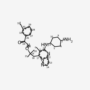 Cc1c(NC2CCC(N)CC2)nc2ccnn2c1CC(C)(C)O[N]C(=O)c1cccc(I)c1